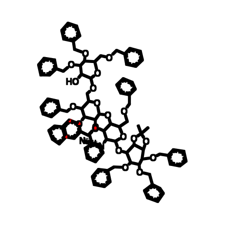 CC1(C)OC2C(OCc3ccccc3)C(OCc3ccccc3)C(OCc3ccccc3)C(OC3OC(COCc4ccccc4)C(OC4OC(COC5OC(COCc6ccccc6)C(OCc6ccccc6)C(OCc6ccccc6)C5O)C(OCc5ccccc5)C(OCc5ccccc5)C4OCc4ccccc4)C(OCc4ccccc4)C3N=[N+]=[N-])C2O1